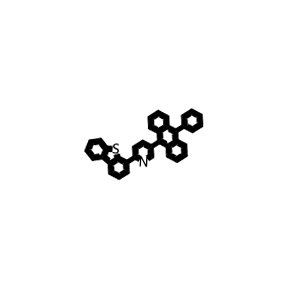 c1ccc(-c2c3ccccc3c(-c3ccc(-c4cccc5c4sc4ccccc45)nc3)c3ccccc23)cc1